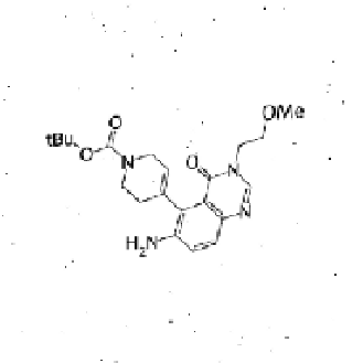 COCCn1cnc2ccc(N)c(C3=CCN(C(=O)OC(C)(C)C)CC3)c2c1=O